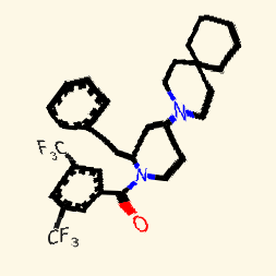 O=C(c1cc(C(F)(F)F)cc(C(F)(F)F)c1)N1CCC(N2CCC3(CCCCC3)CC2)CC1Cc1ccccc1